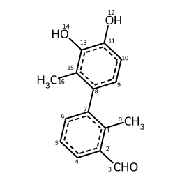 Cc1c(C=O)cccc1-c1ccc(O)c(O)c1C